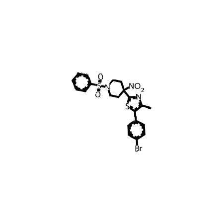 Cc1nc(C2([N+](=O)[O-])CCN(S(=O)(=O)c3ccccc3)CC2)sc1-c1ccc(Br)cc1